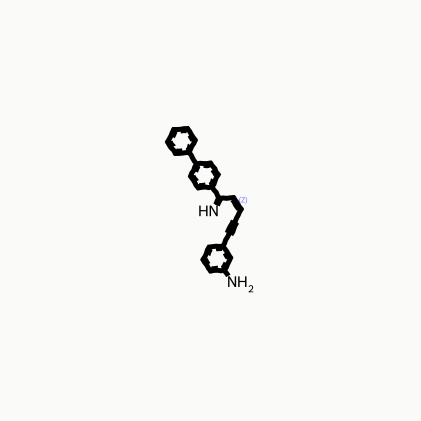 N=C(/C=C\C#Cc1cccc(N)c1)c1ccc(-c2ccccc2)cc1